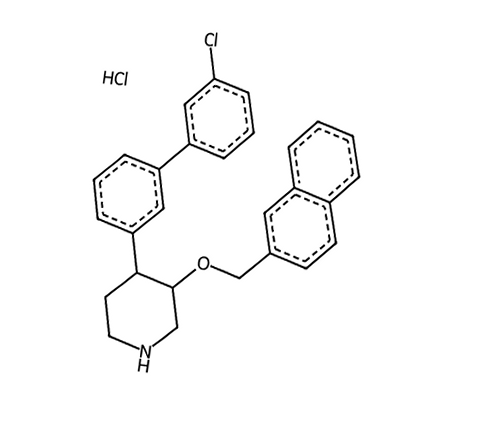 Cl.Clc1cccc(-c2cccc(C3CCNCC3OCc3ccc4ccccc4c3)c2)c1